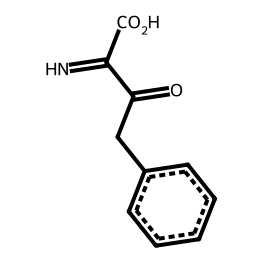 N=C(C(=O)O)C(=O)Cc1ccccc1